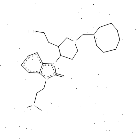 CN(C)CCn1c(=O)n(C2CCN(CC3CCCCCCC3)CC2CCN)c2ccccc21